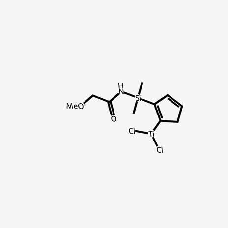 COCC(=O)N[Si](C)(C)C1=[C]([Ti]([Cl])[Cl])CC=C1